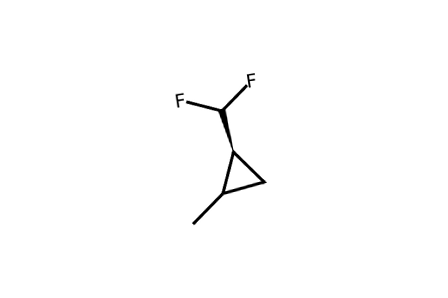 CC1C[C@@H]1C(F)F